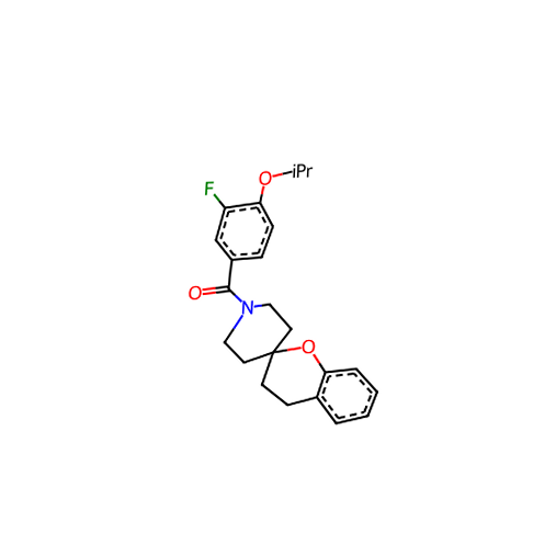 CC(C)Oc1ccc(C(=O)N2CCC3(CCc4ccccc4O3)CC2)cc1F